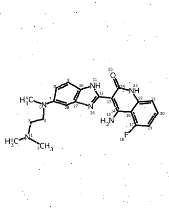 CN(C)CCN(C)c1ccc2[nH]c(-c3c(N)c4c(F)cccc4[nH]c3=O)nc2c1